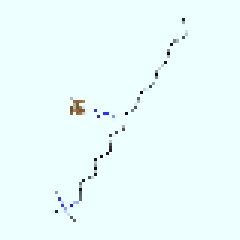 Br.CCCCCCCCCCCCCCCC[N+](C)(C)C.N.[Br-]